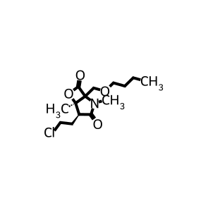 CCCCOCC12C(=O)O[C@]1(C)[C@H](CCCl)C(=O)N2C